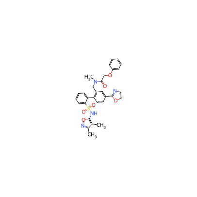 Cc1noc(NS(=O)(=O)c2ccccc2-c2ccc(-c3ncco3)cc2CN(C)C(=O)COc2ccccc2)c1C